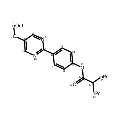 CCCCCCCCOc1cnc(-c2ccc(OC(=O)C(CCC)CCC)cc2)nc1